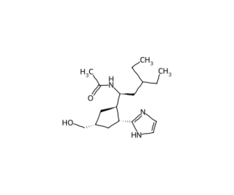 CCC(CC)C[C@H](NC(C)=O)[C@@H]1C[C@@H](CO)C[C@H]1c1ncc[nH]1